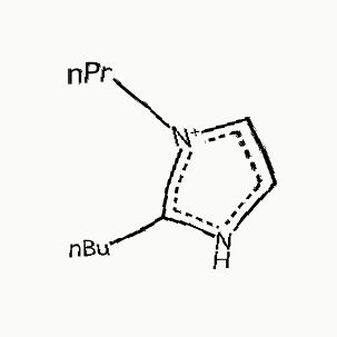 CCCCc1[nH]cc[n+]1CCC